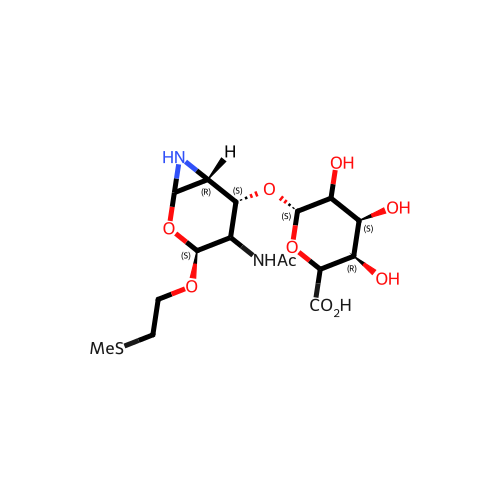 CSCCO[C@H]1OC2N[C@@H]2[C@H](O[C@H]2OC(C(=O)O)[C@H](O)[C@H](O)C2O)C1NC(C)=O